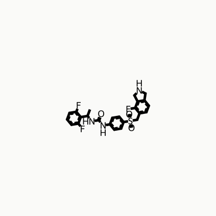 CC(NC(=O)Nc1ccc(S(=O)(=O)Cc2ccc3c(c2F)CNC3)cc1)c1c(F)cccc1F